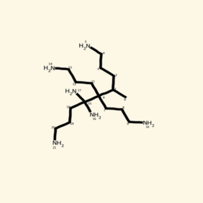 CC(CCCN)C(CCCN)(CCCN)C(N)(N)CCCN